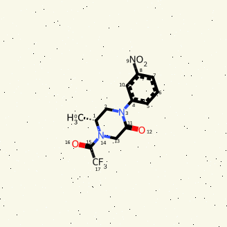 C[C@@H]1CN(c2cccc([N+](=O)[O-])c2)C(=O)CN1C(=O)C(F)(F)F